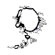 C=C1[C@H](C)C[C@H](C)/C=C/C=C/C=C(\C)[C@@H](OC)C[C@@H]2CC[C@@H](C)[C@@](O)(O2)C(=O)C(=O)N2CCCC[C@H]2C(=O)O[C@H]([C@H](C)C[C@@H]2CC[C@@H](OC(=O)NS(=O)(=O)N3CCN(C)CC3)[C@H](OC)C2)CC(=O)[C@H](C)/C=C(\C)[C@@H](O)[C@H]1OC